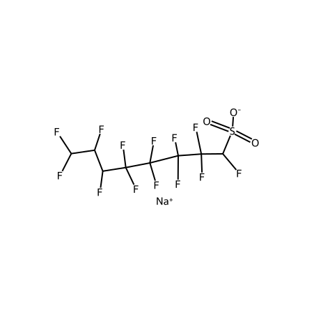 O=S(=O)([O-])C(F)C(F)(F)C(F)(F)C(F)(F)C(F)(F)C(F)C(F)C(F)F.[Na+]